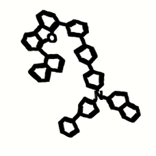 c1ccc(-c2ccc(N(c3ccc(-c4ccc(-c5cccc(-c6cccc7c6oc6c(-c8cccc9ccccc89)cccc67)c5)cc4)cc3)c3ccc4ccccc4c3)cc2)cc1